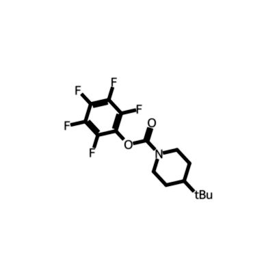 CC(C)(C)C1CCN(C(=O)Oc2c(F)c(F)c(F)c(F)c2F)CC1